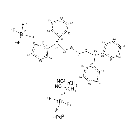 CC#N.CC#N.F[B-](F)(F)F.F[B-](F)(F)F.[Pd+2].c1ccc(P(CCCCP(c2ccccc2)c2ccccc2)c2ccccc2)cc1